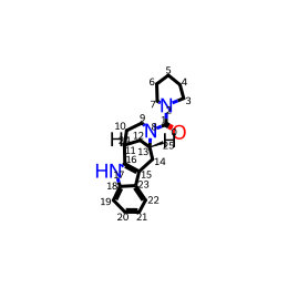 O=C(N1CCCCC1)N1CC[C@@H]2C[C@H]1Cc1c2[nH]c2ccccc12